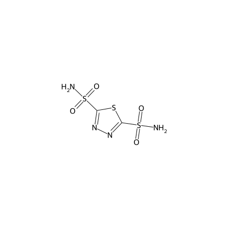 NS(=O)(=O)c1nnc(S(N)(=O)=O)s1